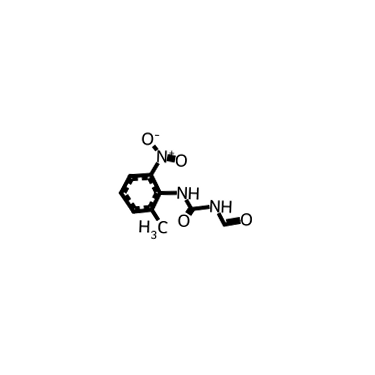 Cc1cccc([N+](=O)[O-])c1NC(=O)NC=O